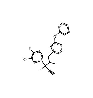 C#CC(C)(c1ccc(F)c(Cl)c1)C(C)Cc1cccc(Oc2ccccc2)c1